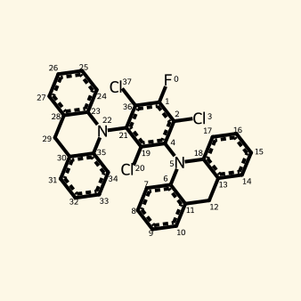 Fc1c(Cl)c(N2c3ccccc3Cc3ccccc32)c(Cl)c(N2c3ccccc3Cc3ccccc32)c1Cl